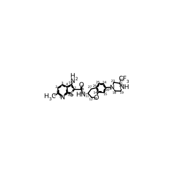 Cc1ccc2c(N)c(C(=O)N[C@H]3COc4cc(N5CCN[C@@H](C(F)(F)F)C5)ccc4C3)sc2n1